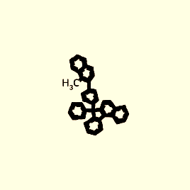 Cc1c(-c2ccc(C3(c4ccccc4)c4ccccc4-c4c3ccc3ccccc43)cc2)ccc2ccccc12